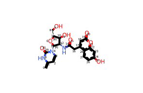 C=C1C=CN([C@@H]2O[C@H](CO)C(O)[C@@H]2NC(=O)Cc2cc(=O)oc3cc(O)ccc23)C(=O)N1